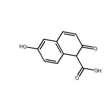 O=C(O)C1C(=O)C=Cc2cc(O)ccc21